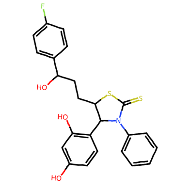 Oc1ccc(C2C(CCC(O)c3ccc(F)cc3)SC(=S)N2c2ccccc2)c(O)c1